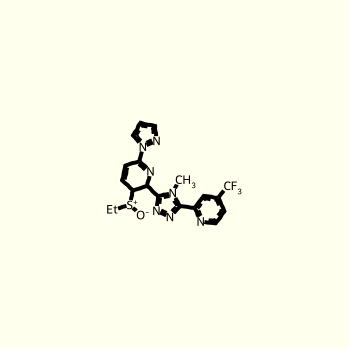 CC[S+]([O-])C1C=CC(n2cccn2)=NC1c1nnc(-c2cc(C(F)(F)F)ccn2)n1C